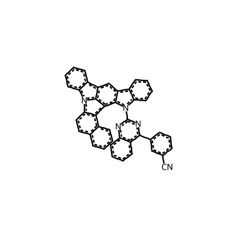 N#Cc1cccc(-c2nc(-n3c4ccccc4c4cc5c6ccccc6n6c7ccc8ccccc8c7c(c43)c56)nc3ccccc23)c1